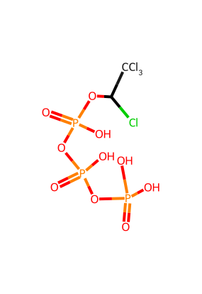 O=P(O)(O)OP(=O)(O)OP(=O)(O)OC(Cl)C(Cl)(Cl)Cl